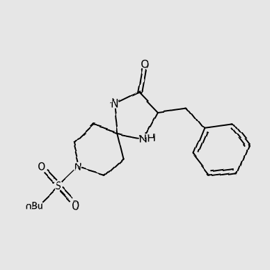 CCCCS(=O)(=O)N1CCC2(CC1)[N]C(=O)C(Cc1ccccc1)N2